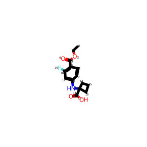 CCOC(=O)c1ccc(NC2(C(=O)O)CCC2)cc1F